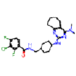 CN(C)c1nc(NC2CCC(CNC(=O)c3ccc(F)c(Cl)c3F)CC2)nc2c1CCCC2